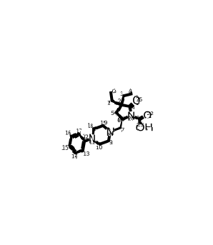 CCC1(CC)C[C@H](CN2CCN(c3ccccc3)CC2)N(C(=O)O)C1=O